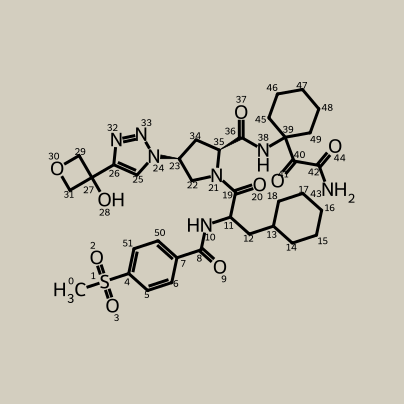 CS(=O)(=O)c1ccc(C(=O)NC(CC2CCCCC2)C(=O)N2C[C@@H](n3cc(C4(O)COC4)nn3)C[C@H]2C(=O)NC2(C(=O)C(N)=O)CCCCC2)cc1